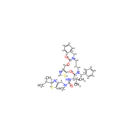 CC(C)c1nc(CN(C)C(=O)NC(C(=O)N(CCCN(Cc2ccccc2)C(=O)OCc2cscn2)Cc2ccccc2)C(C)C)cs1